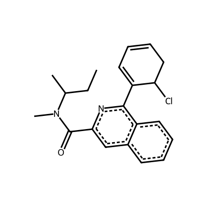 CCC(C)N(C)C(=O)c1cc2ccccc2c(C2=CC=CCC2Cl)n1